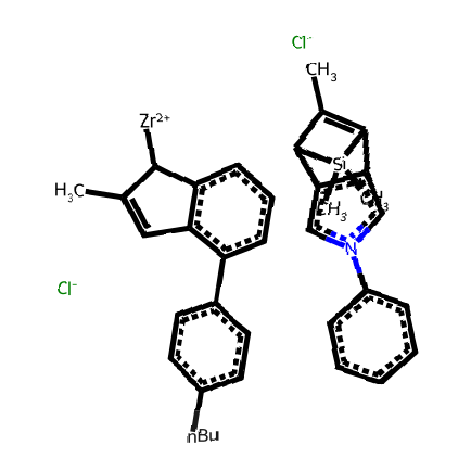 CC1=C2c3cn(-c4ccccc4)cc3C1[Si]2(C)C.CCCCc1ccc(-c2cccc3c2C=C(C)[CH]3[Zr+2])cc1.[Cl-].[Cl-]